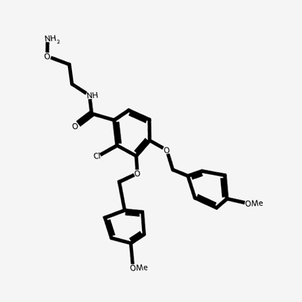 COc1ccc(COc2ccc(C(=O)NCCON)c(Cl)c2OCc2ccc(OC)cc2)cc1